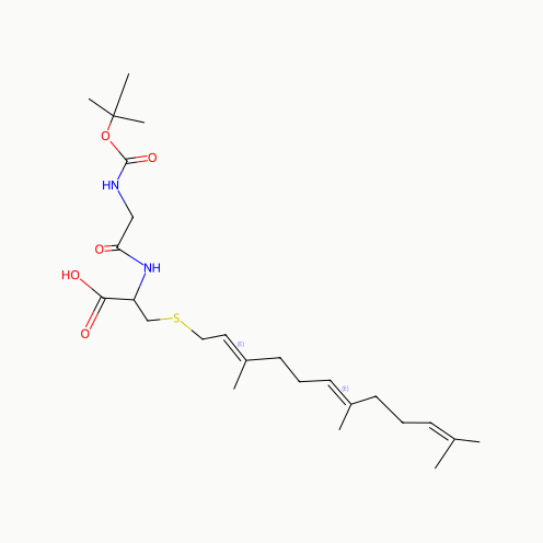 CC(C)=CCC/C(C)=C/CC/C(C)=C/CSCC(NC(=O)CNC(=O)OC(C)(C)C)C(=O)O